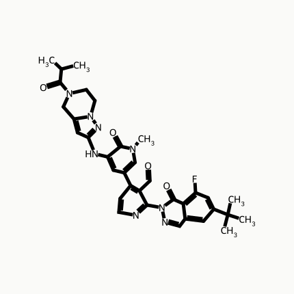 CC(C)C(=O)N1CCn2nc(Nc3cc(-c4ccnc(-n5ncc6cc(C(C)(C)C)cc(F)c6c5=O)c4C=O)cn(C)c3=O)cc2C1